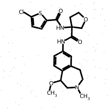 COC1CN(C)CCc2cc(NC(=O)C3(NC(=O)c4ccc(Cl)s4)CCOC3)ccc21